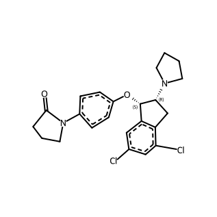 O=C1CCCN1c1ccc(O[C@H]2c3cc(Cl)cc(Cl)c3C[C@H]2N2CCCC2)cc1